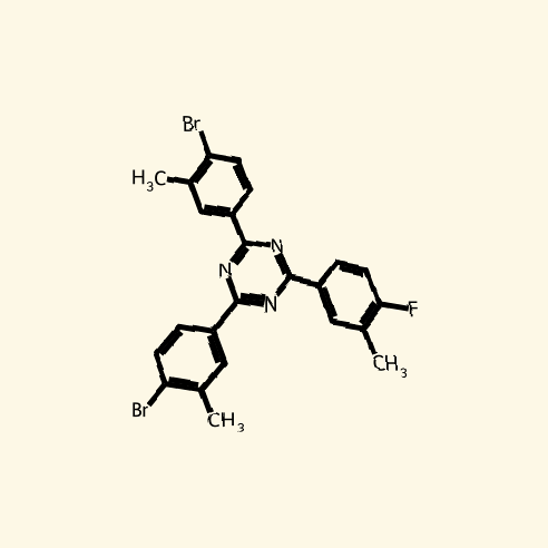 Cc1cc(-c2nc(-c3ccc(Br)c(C)c3)nc(-c3ccc(Br)c(C)c3)n2)ccc1F